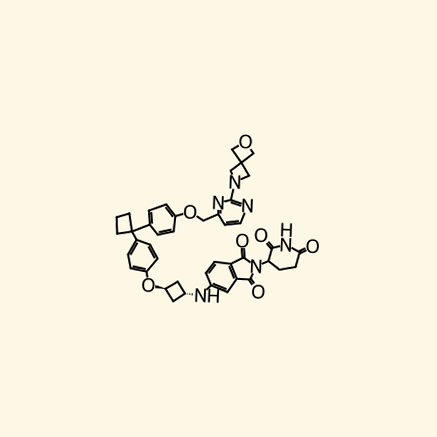 O=C1CCC(N2C(=O)c3ccc(N[C@H]4C[C@H](Oc5ccc(C6(c7ccc(OCc8ccnc(N9CC%10(COC%10)C9)n8)cc7)CCC6)cc5)C4)cc3C2=O)C(=O)N1